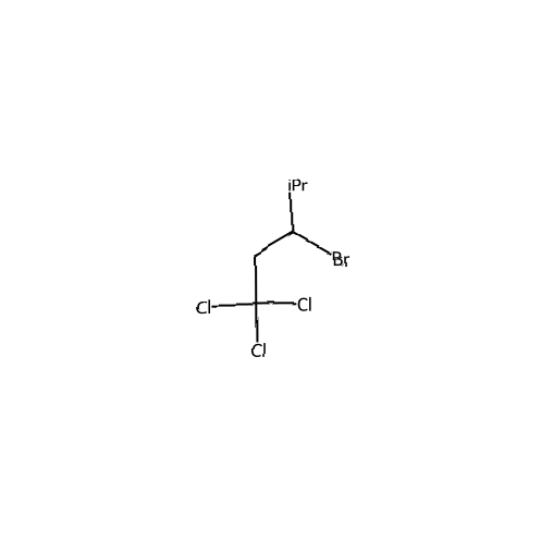 CC(C)C(Br)CC(Cl)(Cl)Cl